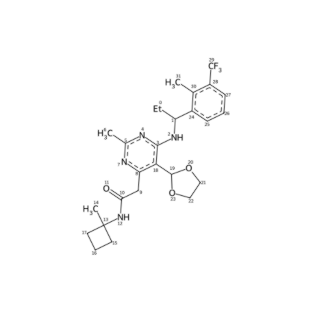 CCC(Nc1nc(C)nc(CC(=O)NC2(C)CCC2)c1C1OCCO1)c1cccc(C(F)(F)F)c1C